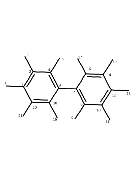 Cc1c(C)c(C)c(-c2c(C)c(C)c(C)c(C)c2C)c(C)c1C